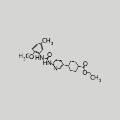 CCOC(=O)C1CCC(c2ccc(NC(=O)Nc3cc(C)ccc3OC)nc2)CC1